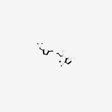 CN(C)Cc1ccc(CSCCNc2[nH]ccc2[N+](=O)[O-])s1